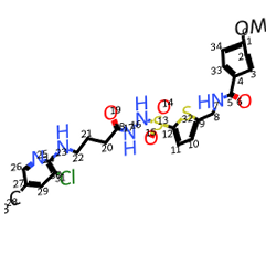 COc1ccc(C(=O)NCc2ccc(S(=O)(=O)NNC(=O)CCCNc3ncc(C(F)(F)F)cc3Cl)s2)cc1